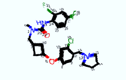 CN(CC1CC(Oc2ccc(CN3CCCC3)c(Cl)c2)C1)C(=O)Nc1ccc(F)cc1F